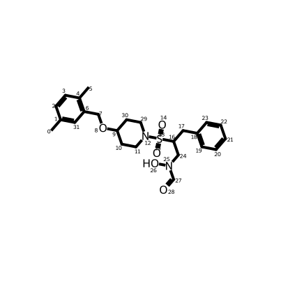 Cc1ccc(C)c(COC2CCN(S(=O)(=O)C(Cc3ccccc3)CN(O)C=O)CC2)c1